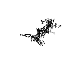 CCCCc1ccc(-c2ccc(C(=O)N[C@H](CO)C(=O)N[C@H](C)C(=O)NCC(=O)N3CCCC3C(=O)N[C@@H](N)C(=O)N[C@@H](CC(N)=O)C(=O)NCB(O)O)cc2)cc1